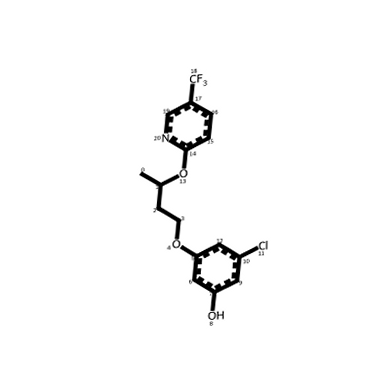 CC(CCOc1cc(O)cc(Cl)c1)Oc1ccc(C(F)(F)F)cn1